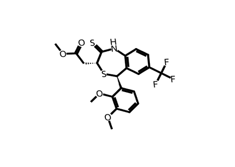 COC(=O)C[C@H]1S[C@H](c2cccc(OC)c2OC)c2cc(C(F)(F)F)ccc2NC1=S